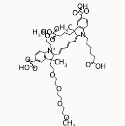 COCCOCCOCCOCCC1(C)C(/C=C/C=C/C=C2/N(CCCCCC(=O)O)c3ccc(S(=O)(=O)O)cc3C2(C)CCCS(=O)(=O)O)=[N+](CCOC)c2ccc(S(=O)(=O)O)cc21